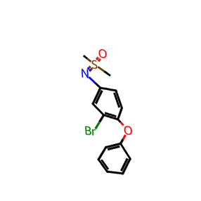 CS(C)(=O)=Nc1ccc(Oc2ccccc2)c(Br)c1